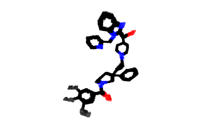 COc1cc(C(=O)N2CCC(CCN3CCC(C(=O)c4nc5ccccc5n4Cc4ccccn4)CC3)(c3ccccc3)C2)cc(OC)c1OC(C)=O